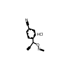 C#CC(ON=C)c1ccc(C#N)cc1.Cl